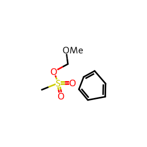 COCOS(C)(=O)=O.c1ccccc1